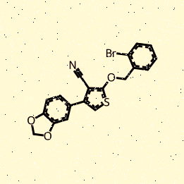 N#Cc1c(-c2ccc3c(c2)OCO3)csc1OCc1ccccc1Br